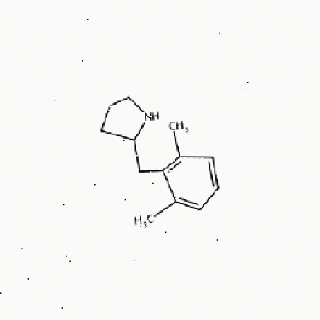 Cc1cccc(C)c1CC1CCCN1